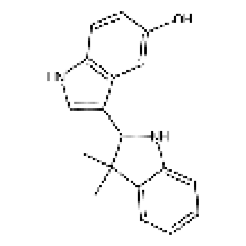 CC1(C)c2ccccc2NC1c1c[nH]c2ccc(O)cc12